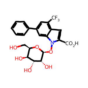 O=C(O)c1cc2c(C(F)(F)F)cc(-c3ccccc3)cc2n1O[C@@H]1O[C@H](CO)[C@H](O)[C@@H](O)[C@H]1O